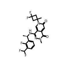 C[C@@H](Nc1nn(C)c(=O)c2cc(=O)n(C3(C)CC(F)(F)C3)cc12)c1cccc(C(F)F)c1F